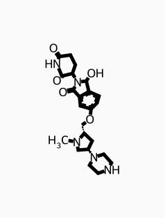 CN1C[C@H](N2CCNCC2)C[C@H]1COc1ccc2c(c1)C(=O)N(C1CCC(=O)NC1=O)C2O